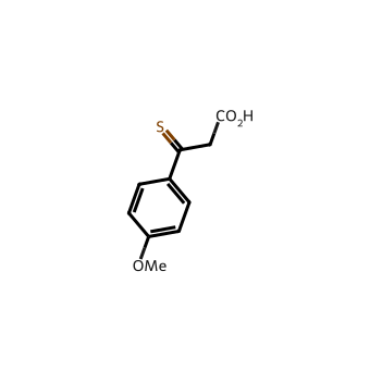 COc1ccc(C(=S)CC(=O)O)cc1